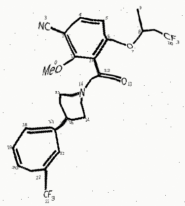 COc1c(C#N)ccc(OC(C)C(F)(F)F)c1C(=O)N1CC(c2cccc(C(F)(F)F)c2)C1